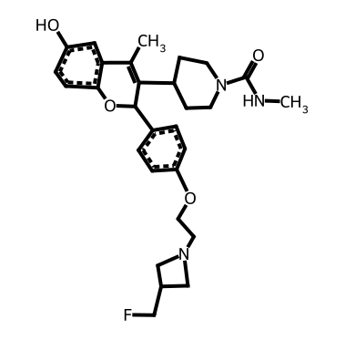 CNC(=O)N1CCC(C2=C(C)c3cc(O)ccc3OC2c2ccc(OCCN3CC(CF)C3)cc2)CC1